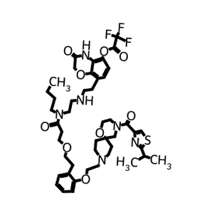 CCCCN(CCNCCc1ccc(OC(=O)C(F)(F)F)c2c1OCC(=O)N2)C(=O)CCOCCc1ccccc1OCCN1CCC2(CC1)CN(C(=O)c1csc(C(C)C)n1)CCO2